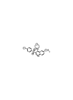 Cc1ccc2ncc(S(=O)(=O)c3ccc(Cl)cc3)c(N3CCOCC3)c2c1